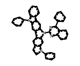 c1ccc(-c2nc(-n3c4cc5c6ccccc6n(-c6ccccc6)c5cc4c4cc5ccn(-c6ccccc6)c5cc43)nc3ccccc23)cc1